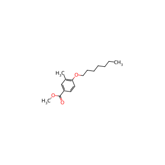 CCCCCCCOc1ccc(C(=O)OC)cc1C